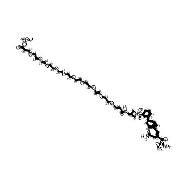 CCCN(OCC)C(=O)C1=Cc2ccc(-c3cccc(S(=O)(=O)N4CC(CNC(=O)CCOCCOCCOCCOCCOCCOCCOCCOCCOCCOCCC(=O)OC(C)(C)C)C4)c3)cc2N=C(N)C1